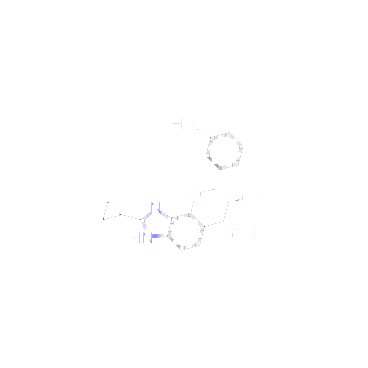 Cc1cccc([C@H]2Oc3c(ccc4[nH]c(C5CC5)nc34)[C@@H](O)[C@@H]2O)c1